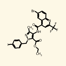 CCOC(=O)c1c(NC(=O)c2cc(C(F)(F)F)nc3ccc(Br)cc23)c(C)nn1Cc1ccc(I)cc1